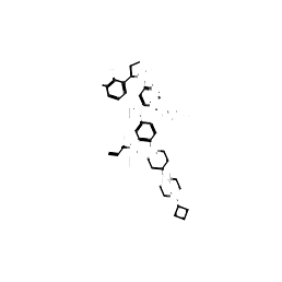 C=CC(=O)Nc1cc(Nc2cc(N3OCCC3c3cccc(F)c3F)ncn2)c(OC)cc1N1CCC(N2CCN(C3CCC3)CC2)CC1